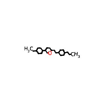 CCCC1CCC(CCC2CCC(C3CCC(CC)CC3)CO2)CC1